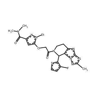 CCn1nc(C(=O)N(C)C)cc1OCC(=O)N1CCc2nc3sc(C)nn3c2C1c1sccc1F